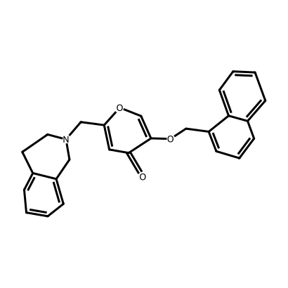 O=c1cc(CN2CCc3ccccc3C2)occ1OCc1cccc2ccccc12